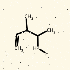 C=CC(C)C(C)PF